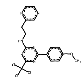 COc1ccc(-c2nc(NCCc3cnccn3)nc(C(Cl)(Cl)Cl)n2)cc1